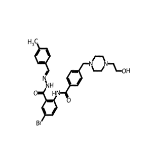 Cc1ccc(C=NNC(=O)c2cc(Br)ccc2NC(=O)c2ccc(CN3CCN(CCO)CC3)cc2)cc1